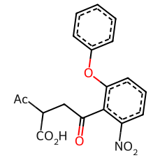 CC(=O)C(CC(=O)c1c(Oc2ccccc2)cccc1[N+](=O)[O-])C(=O)O